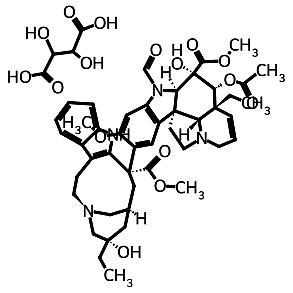 CC[C@]1(O)C[C@H]2C[N@](CCc3c([nH]c4ccccc34)[C@@](C(=O)OC)(c3cc4c(cc3OC)N(C=O)[C@H]3[C@@](O)(C(=O)OC)[C@H](OC(C)=O)[C@]5(CC)C=CCN6CC[C@]43[C@@H]65)C2)C1.O=C(O)C(O)C(O)C(=O)O